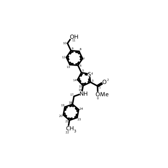 COC(=O)c1sc(-c2ccc(CO)cc2)cc1NCc1ccc(C)cc1